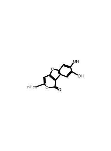 CCCCCCc1cc2oc3cc(O)c(O)cc3c2c(=O)o1